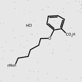 CCCCCCCCCCCCCCOc1ccccc1C(=O)O.Cl